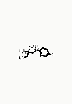 CC[C@](C)(N)CN(C)c1ccc(Cl)cn1